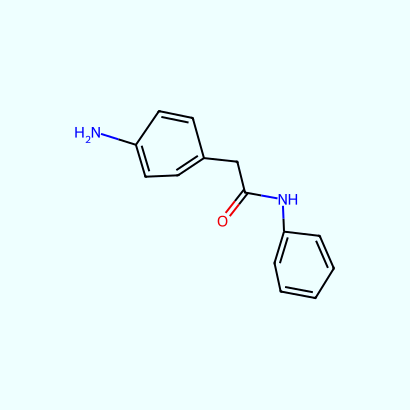 Nc1ccc(CC(=O)Nc2ccccc2)cc1